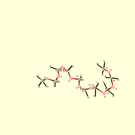 C[SiH](O[SiH](C)O[SiH](C)O[Si](C)(C)C)O[SiH](C)O[SiH](C)O[Si](C)(C)O[Si](C)(C)O[Si](C)(C)O[Si](C)(C)C